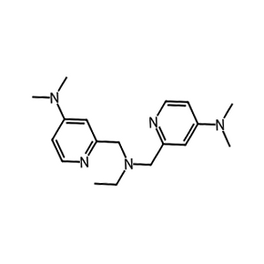 CCN(Cc1cc(N(C)C)ccn1)Cc1cc(N(C)C)ccn1